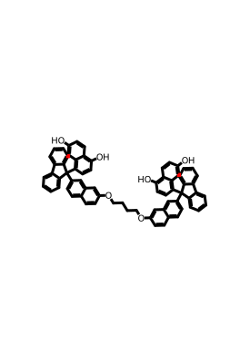 Oc1ccc2c(O)ccc(C3(c4ccc5ccc(OCCCCOc6ccc7ccc(C8(c9ccc(O)c%10ccc(O)cc9%10)c9ccccc9-c9ccccc98)cc7c6)cc5c4)c4ccccc4-c4ccccc43)c2c1